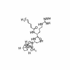 C/C=C/C=C/C(=O)N[C@@H](CCCNC(=N)NC)C(=O)N[C@@H](CC(C)C)B1O[C@@H]2C[C@@H]3C[C@@H](C3(C)C)[C@]2(C)O1